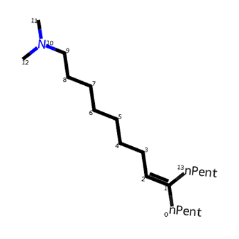 CCCCCC(=CCCCCCCCN(C)C)CCCCC